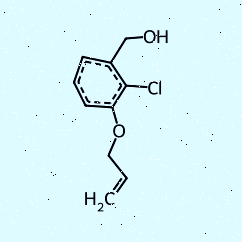 C=CCOc1cccc(CO)c1Cl